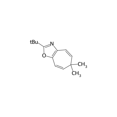 CC1(C)C=Cc2nc(C(C)(C)C)oc2C=C1